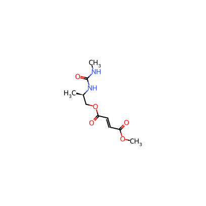 CNC(=O)N[C@H](C)COC(=O)/C=C/C(=O)OC